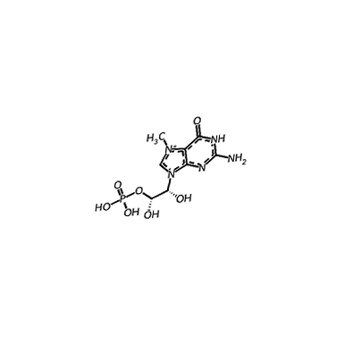 C[n+]1cn([C@H](O)[C@H](O)OP(=O)(O)O)c2nc(N)[nH]c(=O)c21